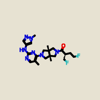 Cc1cnc(Nc2cnn(C)c2)nc1N1C[C@]2(C)CN(C(=O)[C@@H](CF)CCF)C[C@]2(C)C1